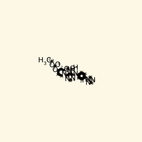 CCOC(=O)OC1CCN(c2ncnc(Nc3ccc(-n4cncn4)cc3)c2[N+](=O)[O-])CC1